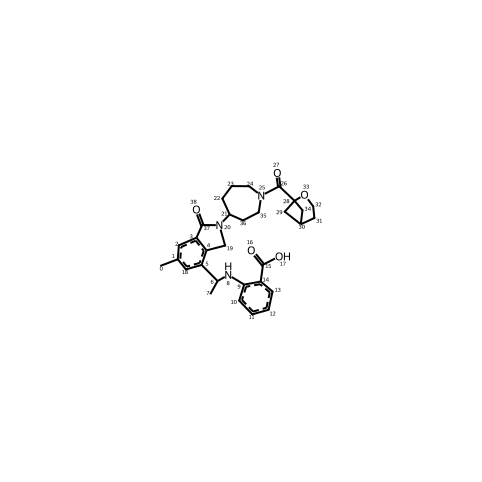 Cc1cc2c(c(C(C)Nc3ccccc3C(=O)O)c1)CN(C1CCCN(C(=O)C34CC(CCO3)C4)CC1)C2=O